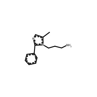 Cc1cnc(-c2ccccc2)n1CCCN